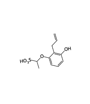 C=CCc1c(O)cccc1OC(C)S(=O)(=O)O